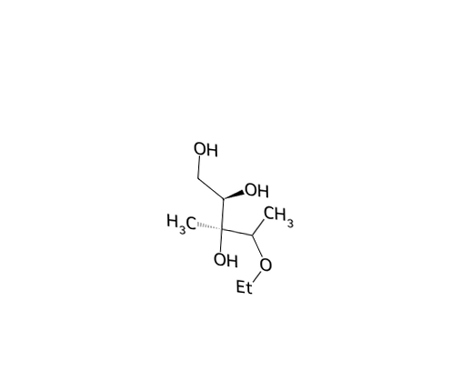 CCOC(C)[C@@](C)(O)[C@H](O)CO